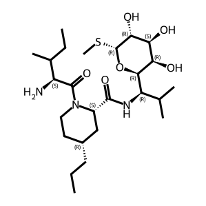 CCC[C@@H]1CCN(C(=O)[C@@H](N)C(C)CC)[C@H](C(=O)N[C@H](C(C)C)[C@H]2O[C@H](SC)[C@H](O)[C@@H](O)[C@H]2O)C1